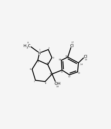 CN1CCC2C1CCCC2(O)c1ccc(Cl)c(Cl)c1